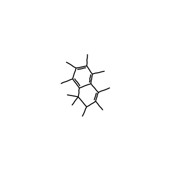 CC1=C(C)C(C)C(C)(C)c2c(C)c(C)c(C)c(C)c21